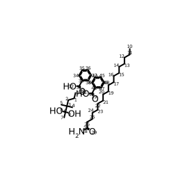 CCCC(C)(C)C(C)(O)O.CCCCCCCCCCCCCCCCCC(N)=O.O=C(O)c1ccccc1.O=C(O)c1ccccc1